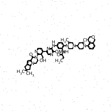 C=CC(=O)Nc1cc(Nc2nc(-c3ccnc(N4CCn5c(cc6c5CC(C)(C)C6)C4=O)c3CO)cnc2OC)ccc1N1CCN(C2CCN(c3cccc4c3CCOC4)[C@H](C)C2)C[C@@H]1C